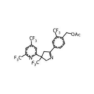 CC(=O)OCc1ccc(C2=NCC(c3cc(C(F)(F)F)cc(C(F)(F)F)n3)(C(F)(F)F)C2)cc1C(F)(F)F